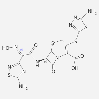 Nc1nc(/C(=N\O)C(=O)N[C@@H]2C(=O)N3C(C(=O)O)=C(Sc4nnc(N)s4)CSC23)ns1